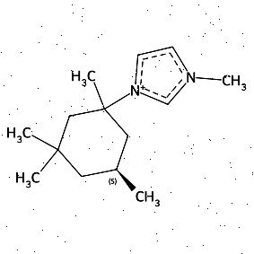 C[C@H]1CC(C)(C)CC(C)([n+]2ccn(C)c2)C1